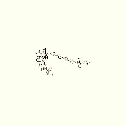 CC(C)[C@H](NC(=O)CCOCCOCCOCCOCCNC(=O)CCC(C)(C)C)C(=O)N[C@@H](CCCNC(N)=O)C(=O)C(C)(C)C